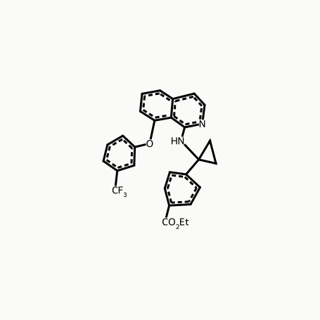 CCOC(=O)c1ccc(C2(Nc3nccc4cccc(Oc5cccc(C(F)(F)F)c5)c34)CC2)cc1